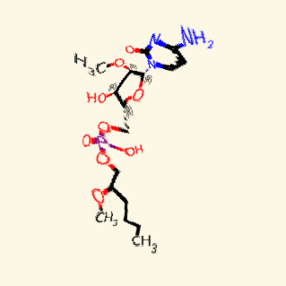 CCCCC(COP(=O)(O)OC[C@H]1O[C@@H](n2ccc(N)nc2=O)[C@H](OC)[C@@H]1O)OC